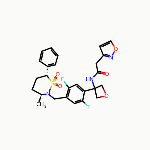 C[C@H]1CC[C@H](c2ccccc2)S(=O)(=O)N1Cc1cc(F)c(C2(NC(=O)Cc3ccon3)COC2)cc1F